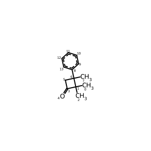 CC1(C)C(=O)CC1(C)c1ccccc1